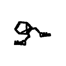 COCC1(COC)C2C=CC1C=C2